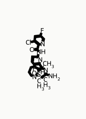 CC1(C)C(N)=N[C@](C)(c2nc(NC(=O)c3ncc(F)cc3Cl)ccc2F)[C@H]2CCCCN=[S@@]21=O